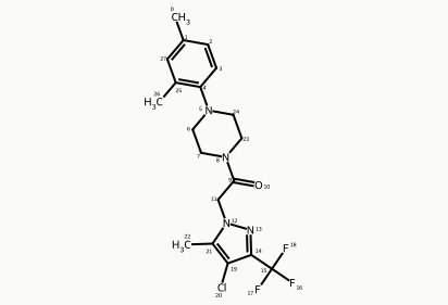 Cc1ccc(N2CCN(C(=O)Cn3nc(C(F)(F)F)c(Cl)c3C)CC2)c(C)c1